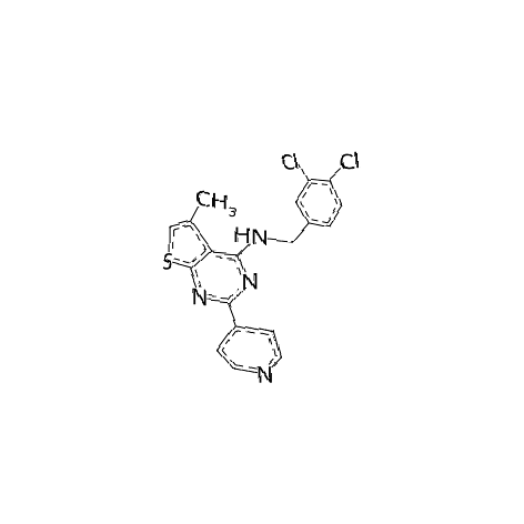 Cc1csc2nc(-c3ccncc3)nc(NCc3ccc(Cl)c(Cl)c3)c12